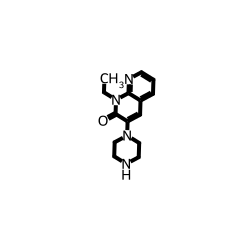 CCn1c(=O)c(N2CCNCC2)cc2cccnc21